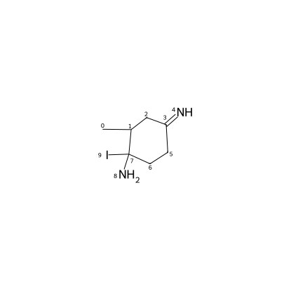 CC1CC(=N)CCC1(N)I